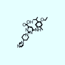 CCOc1cc(C)c(Nc2cc(C(=O)O)nc(N3CCC(n4ccnc4)CC3)n2)cc1C(C)C